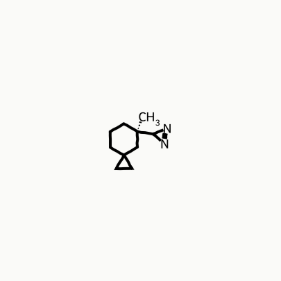 C[C@@]1(C2N=N2)CCCC2(CC2)C1